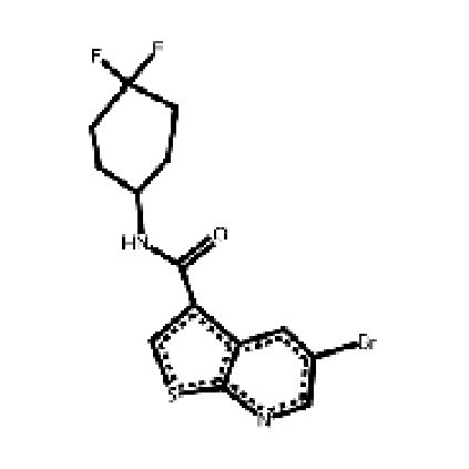 O=C(NC1CCC(F)(F)CC1)c1csc2ncc(Br)cc12